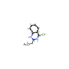 CC(=O)OCc1nc(Cl)c2ccccc2n1